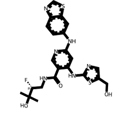 CC(C)(O)[C@H](F)CNC(=O)c1cnc(Nc2ccc3ncsc3c2)cc1Nc1ncc(CO)s1